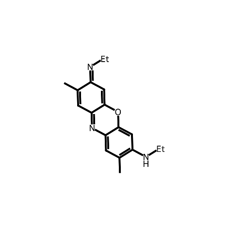 CC/N=c1\cc2oc3cc(NCC)c(C)cc3nc-2cc1C